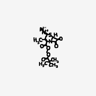 CC1=C(C(=O)OCOC(=O)C(C)(C)C)N2C(=O)C(=O)[C@@H]2SC1=[N+]=[N-]